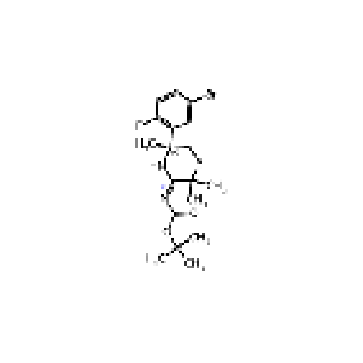 CC(C)(C)OC(=O)/N=C1/N[C@](C)(c2cc(Br)ccc2F)CSC1(C)C